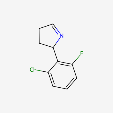 Fc1cccc(Cl)c1C1CCC=N1